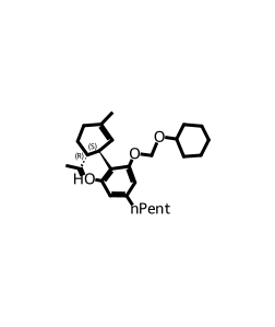 C=C(C)[C@@H]1CCC(C)=C[C@H]1c1c(O)cc(CCCCC)cc1OCOC1CCCCC1